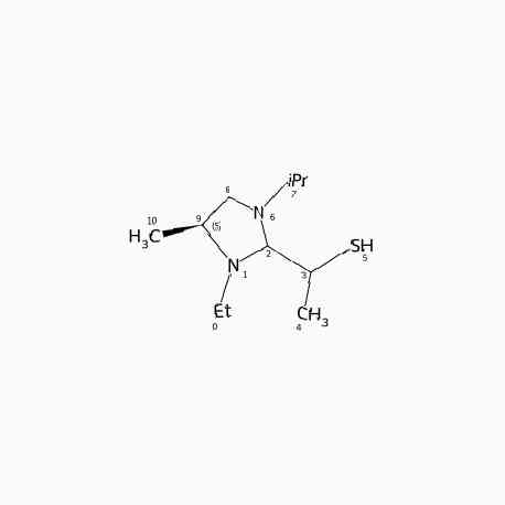 CCN1C(C(C)S)N(C(C)C)C[C@@H]1C